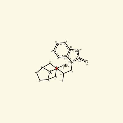 CCCCC1CC2CCC(C1)N2CC(C)Cn1c(=O)sc2ccccc21